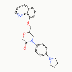 O=C1COC(COc2cccc3cccnc23)CN1c1ccc(N2CCCC2)cc1